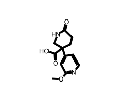 COc1cc(C2(C(=O)O)CCC(=O)NC2)ccn1